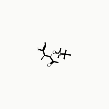 C/C=C(\I)[C@H](C)[C@H](O[Si](C)(C)C(C)(C)C)C(C)=O